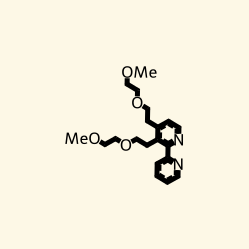 COCCOCCc1ccnc(-c2ccccn2)c1CCOCCOC